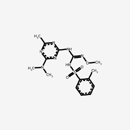 CON=C(Nc1nc(C)nc(N(C)C)n1)NS(=O)(=O)c1ccccc1C